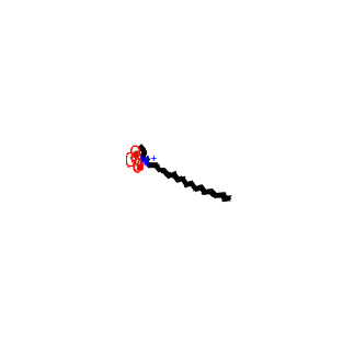 CCCCCCCCCCCCCCCCCC[N+](C)(C)C(CC)S(=O)(=O)[O-]